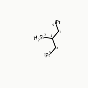 CC(C)CC([SiH2])CC(C)C